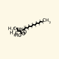 CCCCCCCCCCCC(=O)N[C@H](C(=O)O)[C@@H](C)CC